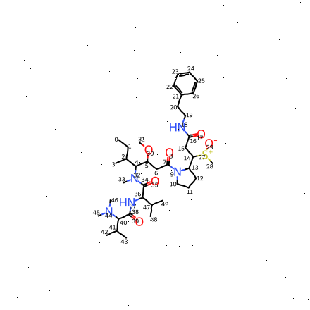 CCC(C)C(C(CC(=O)N1CCCC1C(CC(=O)NCCc1ccccc1)[S+](C)[O-])OC)N(C)C(=O)C(NC(=O)C(C(C)C)N(C)C)C(C)C